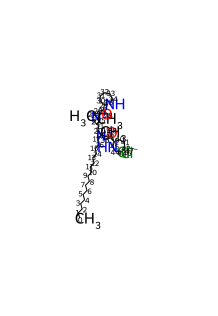 CCCCCCCCCCCCCCCCCC[N+](C)(CCC[N+](C)(C)CC(=O)C1CCCCCN1)CC(=O)C1CCCCCN1.[Cl-].[Cl-]